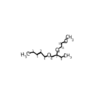 CCCCCOCC(CC)OCCOC